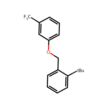 CC(C)(C)c1ccccc1COc1cccc(C(F)(F)F)c1